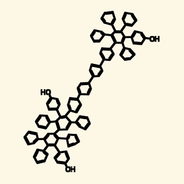 Oc1ccc(-c2c(-c3ccccc3)c(-c3ccccc3)cc(-c3cc(-c4ccccc4)c(-c4ccc(-c5ccc(-c6ccc(-c7ccc(-c8c(-c9ccccc9)c(-c9ccccc9)c(-c9ccccc9)c(-c9ccc(O)cc9)c8-c8ccccc8)cc7)cc6)cc5)cc4)c(-c4ccc(O)cc4)c3-c3ccccc3)c2-c2ccccc2)cc1